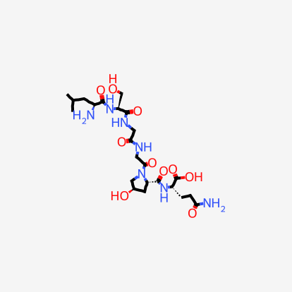 CC(C)C[C@H](N)C(=O)N[C@@H](CO)C(=O)NCC(=O)NCC(=O)N1C[C@H](O)C[C@H]1C(=O)N[C@@H](CCC(N)=O)C(=O)O